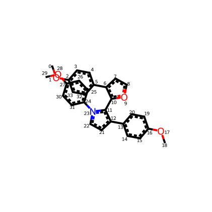 COc1ccc(-c2ccoc2-c2c(-c3ccc(OC)cc3)ccn2-c2ccc(OC)cc2)cc1